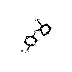 O=C(O)c1ccc(Oc2ccccc2Cl)cn1